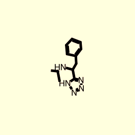 CC(C)NC(Cc1ccccc1)c1nnn[nH]1